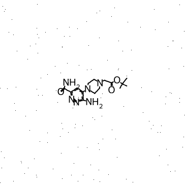 CC(C)(C)OC(=O)CN1CCN(c2cc(C(N)=O)nnc2N)CC1